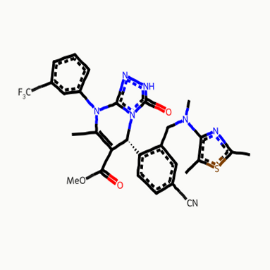 COC(=O)C1=C(C)N(c2cccc(C(F)(F)F)c2)c2n[nH]c(=O)n2[C@@H]1c1ccc(C#N)cc1CN(C)c1nc(C)sc1C